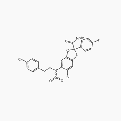 CNC(=O)C1(c2ccc(F)cc2)Cc2cc(Br)c(N(CCc3ccc(Cl)cc3)[SH](=O)=O)cc2O1